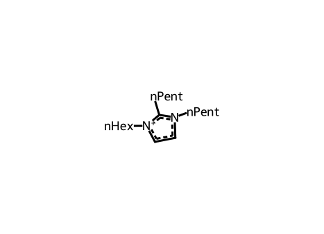 CCCCCC[n+]1ccn(CCCCC)c1CCCCC